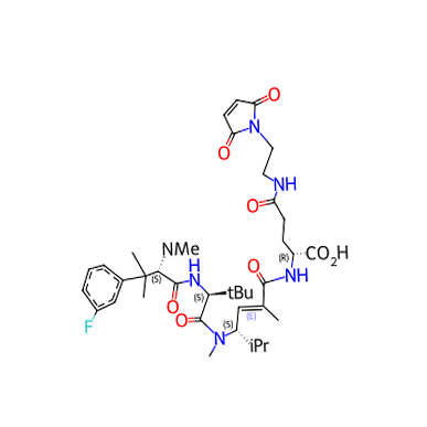 CN[C@H](C(=O)N[C@H](C(=O)N(C)[C@H](/C=C(\C)C(=O)N[C@H](CCC(=O)NCCN1C(=O)C=CC1=O)C(=O)O)C(C)C)C(C)(C)C)C(C)(C)c1cccc(F)c1